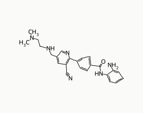 CN(C)CCNCc1cnc(-c2ccc(C(=O)Nc3ccccc3N)cc2)c(C#N)c1